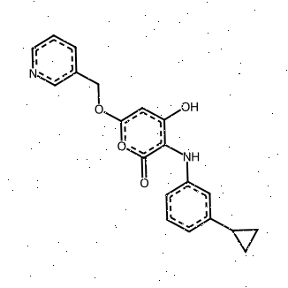 O=c1oc(OCc2cccnc2)cc(O)c1Nc1cccc(C2CC2)c1